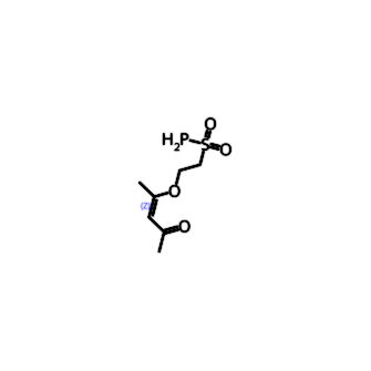 CC(=O)/C=C(/C)OCCS(=O)(=O)P